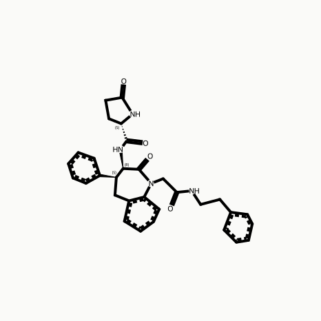 O=C(CN1C(=O)[C@H](NC(=O)[C@@H]2CCC(=O)N2)[C@H](c2ccccc2)Cc2ccccc21)NCCc1ccccc1